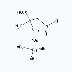 CC(C)(CN(Cl)Cl)S(=O)(=O)O.CCCC[PH](CCCC)(CCCC)CCCC